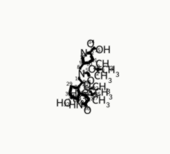 CC(C)(C)OC(=O)N(Cc1ccc(C(=O)O)nc1)CC(O[Si](C)(C)C(C)(C)C)c1ccc(O)c2[nH]c(=O)ccc12